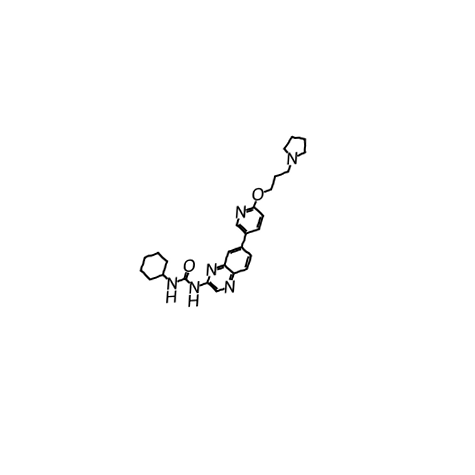 O=C(Nc1cnc2ccc(-c3ccc(OCCCN4CCCC4)nc3)cc2n1)NC1CCCCC1